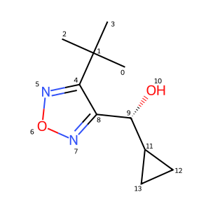 CC(C)(C)c1nonc1[C@H](O)C1CC1